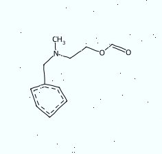 CN(CCO[C]=O)Cc1ccccc1